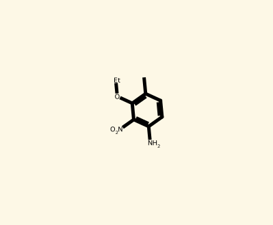 CCOc1c(C)ccc(N)c1[N+](=O)[O-]